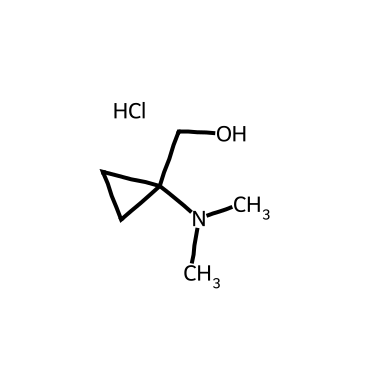 CN(C)C1(CO)CC1.Cl